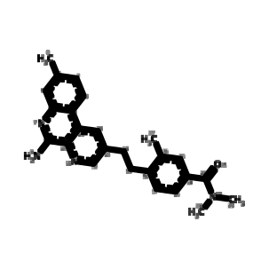 Cc1ccc2c(c1)nc(N)c1ncc(CCc3ccc(C(=O)N(C)C)cc3C)cc12